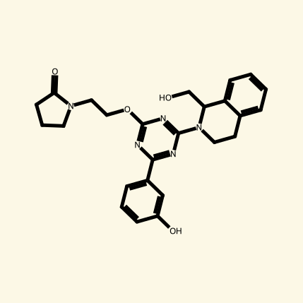 O=C1CCCN1CCOc1nc(-c2cccc(O)c2)nc(N2CCc3ccccc3C2CO)n1